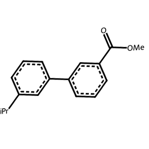 COC(=O)c1cccc(-c2cccc(C(C)C)c2)c1